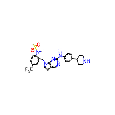 CN(c1ccc(C(F)(F)F)cc1Cn1ccc2cnc(Nc3ccc(C4CCNCC4)cc3)nc21)S(C)(=O)=O